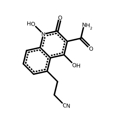 N#CCCc1cccc2c1c(O)c(C(N)=O)c(=O)n2O